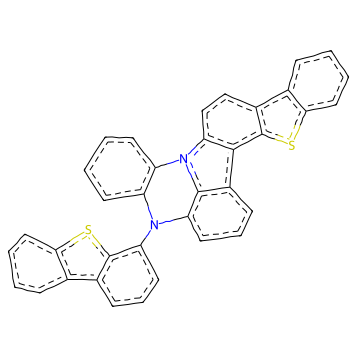 c1ccc2c(c1)N(c1cccc3c1sc1ccccc13)c1cccc3c4c5sc6ccccc6c5ccc4n-2c13